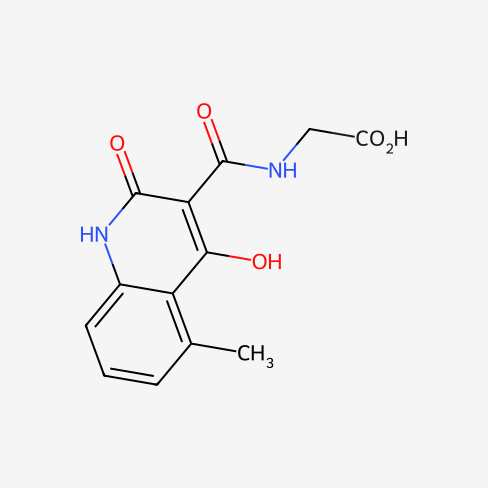 Cc1cccc2[nH]c(=O)c(C(=O)NCC(=O)O)c(O)c12